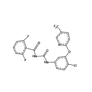 O=C(NC(=O)c1c(F)cccc1F)Nc1ccc(Cl)c(Oc2ccc(C(F)(F)F)cn2)c1